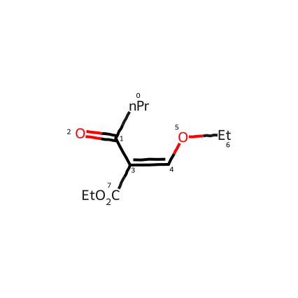 CCCC(=O)/C(=C\OCC)C(=O)OCC